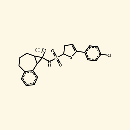 CCOC(=O)C1(NS(=O)(=O)C2CC=C(c3ccc(Cl)cc3)S2)C2CCCc3ccccc3C21